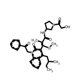 CCC(C)Cc1c(/C(OC)=C(\C)C(=O)NC2CCN(C(=O)CO)C2)c(=O)n(CC(=O)c2ccccc2)c2ccccc12